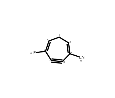 N#CC1=CCC=C(F)C#C1